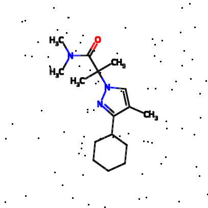 Cc1cn(C(C)(C)C(=O)N(C)C)nc1C1CCCCC1